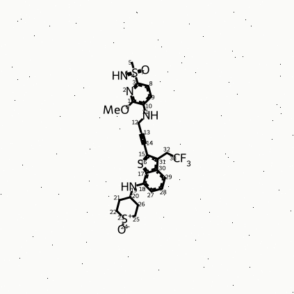 COc1nc(S(C)(=N)=O)ccc1NCC#Cc1sc2c(NC3CC[S+]([O-])CC3)cccc2c1CC(F)(F)F